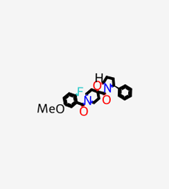 COc1ccc(F)c(C(=O)N2CCC3(CC2)O[C@@H]2CC[C@@H](c4ccccc4)N2C3=O)c1